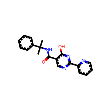 CC(C)(NC(=O)c1cnc(-c2ccccn2)nc1O)c1ccccc1